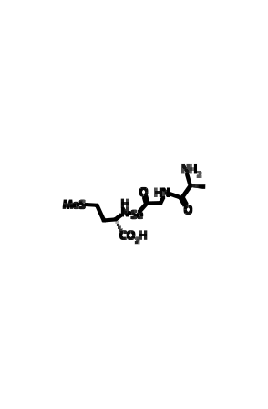 CSCC[C@H](N[Se]C(=O)CNC(=O)[C@H](C)N)C(=O)O